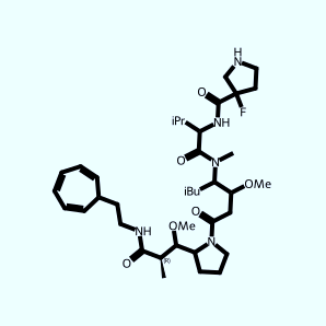 CCC(C)C(C(CC(=O)N1CCCC1C(OC)[C@@H](C)C(=O)NCCC1C=CC=CC=C1)OC)N(C)C(=O)C(NC(=O)C1(F)CCNC1)C(C)C